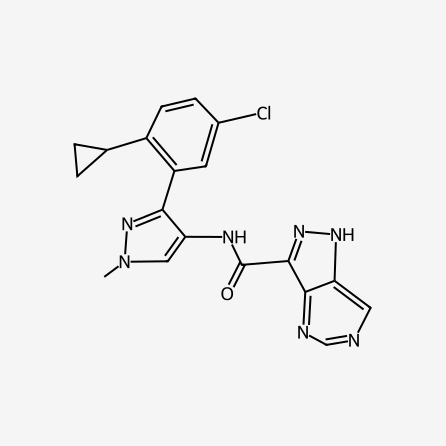 Cn1cc(NC(=O)c2n[nH]c3cncnc23)c(-c2cc(Cl)ccc2C2CC2)n1